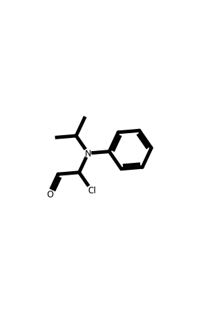 CC(C)N(c1ccccc1)C(Cl)C=O